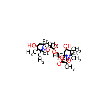 CCC1(C)CC(O)C(C)C(C)(CC)N1OC(C)C(=O)OCCOC(=O)C(C)ON1C(C)(CC)CC(O)C(C)C1(C)CC